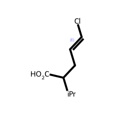 CC(C)C(C/C=C/Cl)C(=O)O